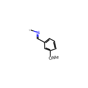 [CH]/N=C/c1cccc(OC)c1